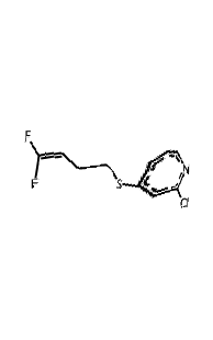 FC(F)=CCCSc1ccnc(Cl)c1